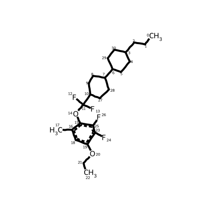 CCCC1CCC(C2CCC(C(F)(F)Oc3c(C)cc(OCC)c(F)c3F)CC2)CC1